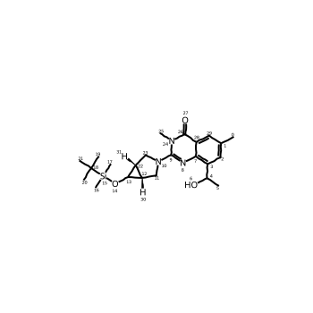 Cc1cc(C(C)O)c2nc(N3C[C@@H]4C(O[Si](C)(C)C(C)(C)C)[C@@H]4C3)n(C)c(=O)c2c1